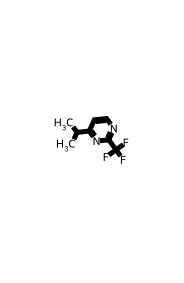 CC(C)c1ccnc(C(F)(F)F)n1